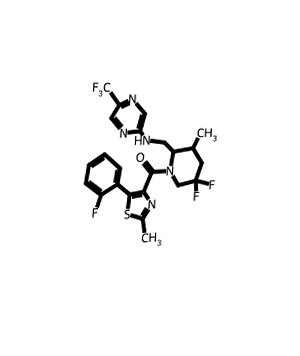 Cc1nc(C(=O)N2CC(F)(F)CC(C)C2CNc2cnc(C(F)(F)F)cn2)c(-c2ccccc2F)s1